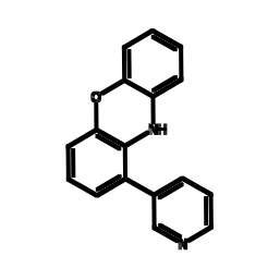 c1cncc(-c2cccc3c2Nc2ccccc2O3)c1